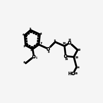 COc1ccccc1OCC1OCC(CO)O1